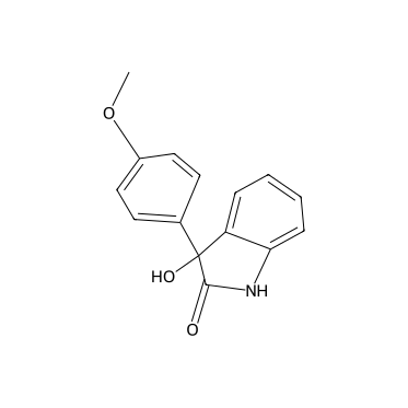 COc1ccc(C2(O)C(=O)Nc3ccccc32)cc1